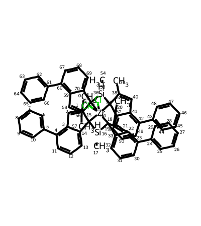 CC1=Cc2c(-c3ccccc3)cccc2[C]12[SiH](C)[C]1(C(C)=Cc3c(-c4ccccc4)cccc31)[Zr]21([Cl])([Cl])[C]2(C(C)=Cc3c(-c4ccccc4)cccc32)[SiH](C)[C]12C(C)=Cc1c(-c3ccccc3)cccc12